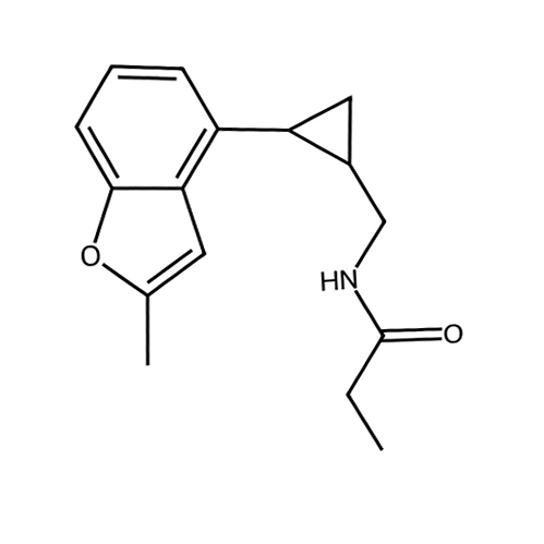 CCC(=O)NCC1CC1c1cccc2oc(C)cc12